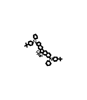 CC(C)(C)c1ccc(N(c2ccccc2)c2ccc3cc4c(cc3c2)C([Si](C)(C)C)([Si](C)(C)C)c2cc3cc(N(c5ccccc5)c5ccc(C(C)(C)C)cc5)ccc3cc2-4)cc1